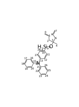 C=CCC(C)(CC=C)O[SiH2]c1ccc(N(c2ccccc2)c2ccccc2)cc1